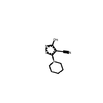 N#Cc1c(O)nsc1N1CCCCC1